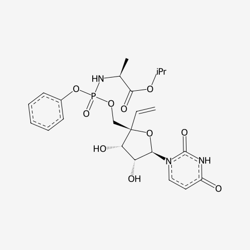 C=C[C@]1(COP(=O)(N[C@@H](C)C(=O)OC(C)C)Oc2ccccc2)O[C@@H](n2ccc(=O)[nH]c2=O)[C@H](O)[C@@H]1O